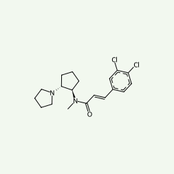 CN(C(=O)/C=C/c1ccc(Cl)c(Cl)c1)[C@@H]1CCC[C@H]1N1CCCC1